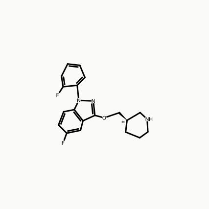 Fc1ccc2c(c1)c(OC[C@@H]1CCCNC1)nn2-c1ccccc1F